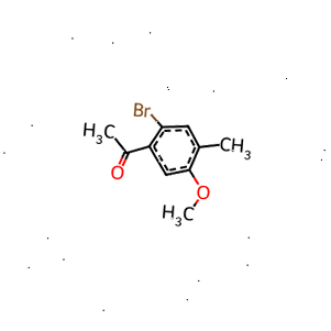 COc1cc(C(C)=O)c(Br)cc1C